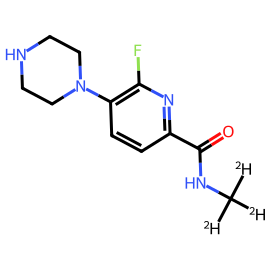 [2H]C([2H])([2H])NC(=O)c1ccc(N2CCNCC2)c(F)n1